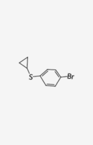 Brc1ccc(SC2CC2)cc1